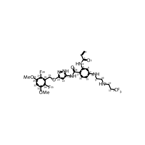 C=CC(=O)Nc1cc(NCCNCCC(F)(F)F)ccc1C(=O)Nc1cc(OCc2c(F)c(OC)cc(OC)c2F)n[nH]1